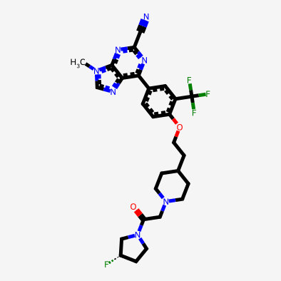 Cn1cnc2c(-c3ccc(OCCC4CCN(CC(=O)N5CC[C@H](F)C5)CC4)c(C(F)(F)F)c3)nc(C#N)nc21